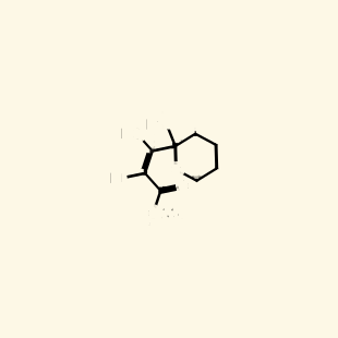 CCC(C(=O)OC)=C(C)C1([SiH3])CCCCO1